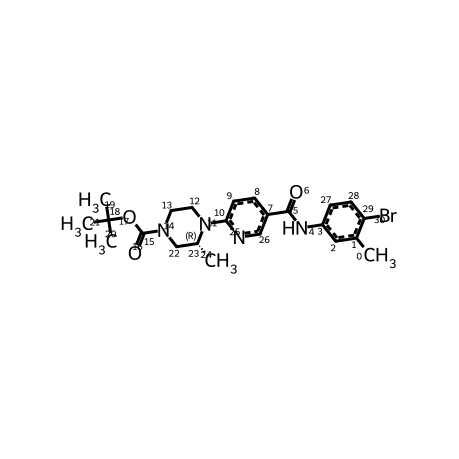 Cc1cc(NC(=O)c2ccc(N3CCN(C(=O)OC(C)(C)C)C[C@H]3C)nc2)ccc1Br